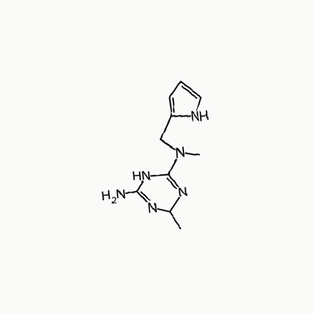 CC1N=C(N)NC(N(C)Cc2ccc[nH]2)=N1